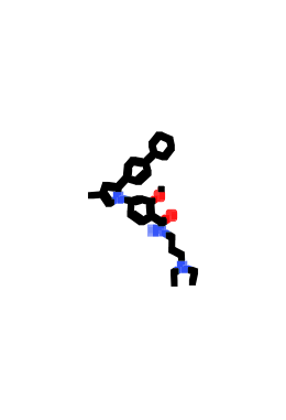 CCN(CC)CCCNC(=O)c1ccc(-n2cc(C)cc2-c2ccc(C3CCCCC3)cc2)cc1OC